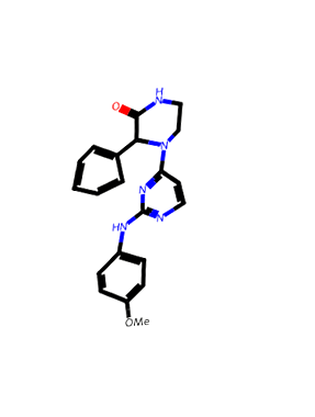 COc1ccc(Nc2nccc(N3CCNC(=O)C3c3ccccc3)n2)cc1